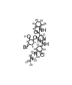 COc1cc(Br)ccc1Oc1nc(Nc2ccc(N3CCN(C(C)C)CC3)c(Cl)c2)ncc1C(=O)Nc1c(C)cccc1C